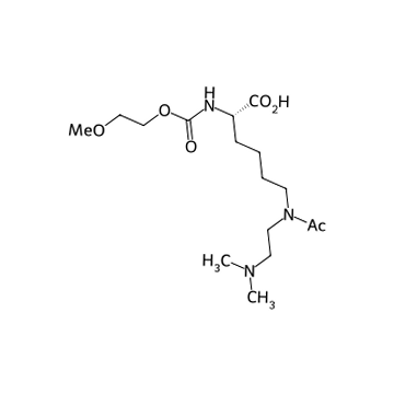 COCCOC(=O)N[C@@H](CCCCN(CCN(C)C)C(C)=O)C(=O)O